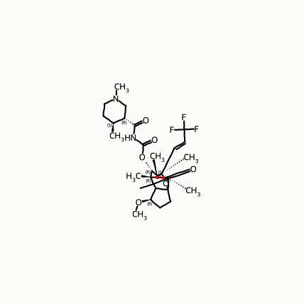 CO[C@@H]1CCC23CC[C@@H](C)[C@](C)(C12)[C@H](OC(=O)NC(=O)[C@H]1CN(C)CC[C@@H]1C)C[C@@](C)(C=CC(F)(F)F)C(=O)[C@@H]3C